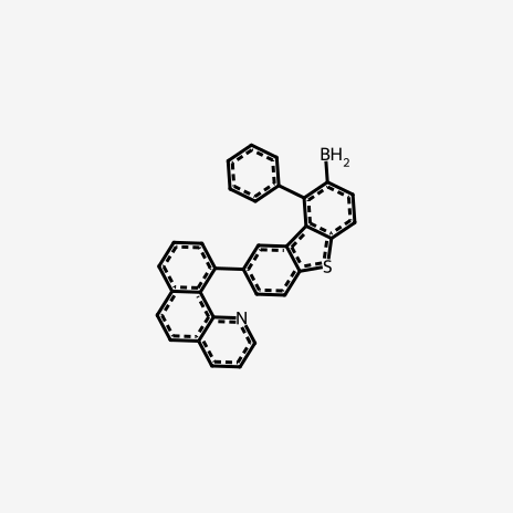 Bc1ccc2sc3ccc(-c4cccc5ccc6cccnc6c45)cc3c2c1-c1ccccc1